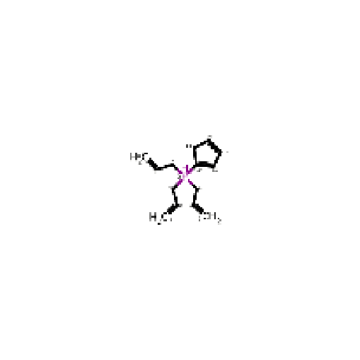 C=CC[PH](CC=C)(CC=C)C1=CC=CC1